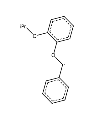 CC(C)Oc1ccccc1O[CH]c1ccccc1